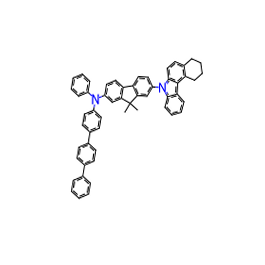 CC1(C)c2cc(N(c3ccccc3)c3ccc(-c4ccc(-c5ccccc5)cc4)cc3)ccc2-c2ccc(-n3c4ccccc4c4c5c(ccc43)CCCC5)cc21